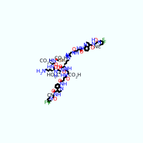 N#C[C@@H]1CC(F)(F)CN1C(=O)CNC(=O)c1ccnc2c(NC(=O)CCC(=O)NCc3cn(CCCC[C@H](NC(=O)C[C@H](NC(=O)CCC(=O)Nc4cccc5c(C(=O)NCC(=O)N6CC(F)(F)C[C@H]6C#N)ccnc45)C(=O)O)C(=O)N[C@@H](CC(=O)O)C(=O)N[C@@H](CCCCN)C(=O)N[C@@H](CC(=O)O)C(=O)N[C@@H](CS)C(=O)O)nn3)cccc12